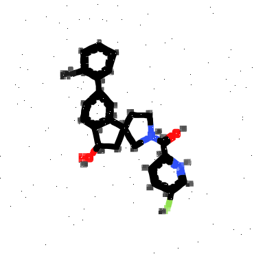 CC(C)c1ccccc1-c1ccc2c(c1)C1(CCN(C(=O)c3ccc(F)cn3)C1)CC2O